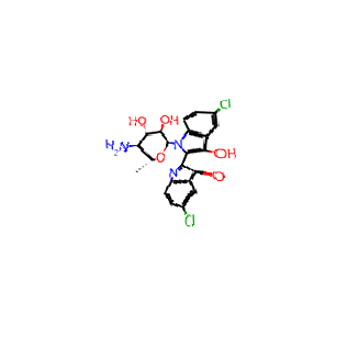 C[C@H]1O[C@H](n2c(C3=Nc4ccc(Cl)cc4C3=O)c(O)c3cc(Cl)ccc32)[C@H](O)[C@@H](O)[C@@H]1N